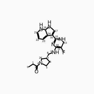 CCC(=O)N1CC[C@H](CNC2=C(F)CNC(C3=CNC4NC=CC=C34)=N2)C1